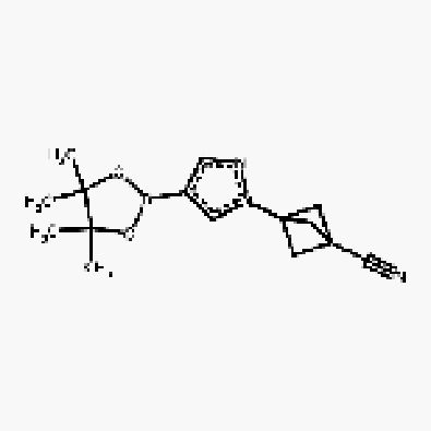 CC1(C)OB(c2cnn(C34CC(C#N)(C3)C4)c2)OC1(C)C